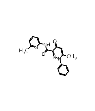 Cc1cccc(NC(=O)c2nn(-c3ccccc3)c(C)cc2=O)n1